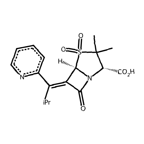 CC(C)/C(=C1\C(=O)N2[C@@H](C(=O)O)C(C)(C)S(=O)(=O)[C@H]12)c1ccccn1